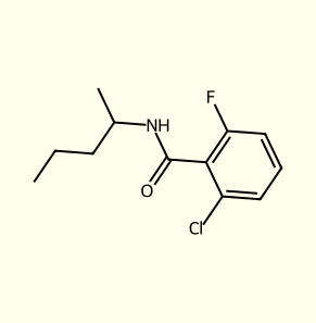 CCCC(C)NC(=O)c1c(F)cccc1Cl